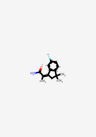 CC(C(N)=O)=C1CC(C)(C)c2ccc(F)cc21